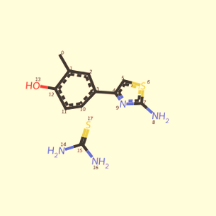 Cc1cc(-c2csc(N)n2)ccc1O.NC(N)=S